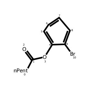 CCCCCC(=O)Oc1ccccc1Br